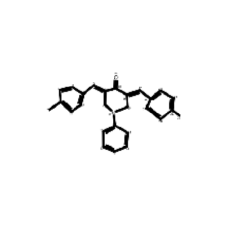 Cc1ccc(C=C2CN(c3ccccc3)CC(=Cc3ccc(C)cc3)C2=O)cc1